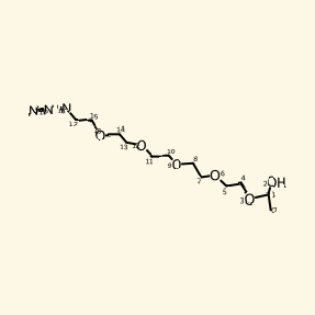 CC(O)OCCOCCOCCOCCOCCN=[N+]=[N-]